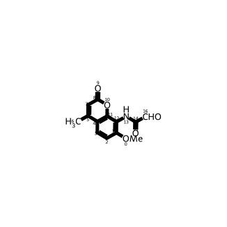 COc1ccc2c(C)cc(=O)oc2c1NC(=O)C=O